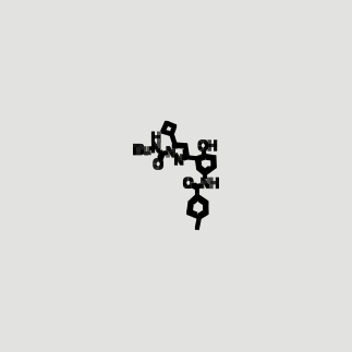 CCC(C)NC(=O)n1nc(-c2cc(NC(=O)c3ccc(C)cc3)ccc2O)cc1C1CCC1